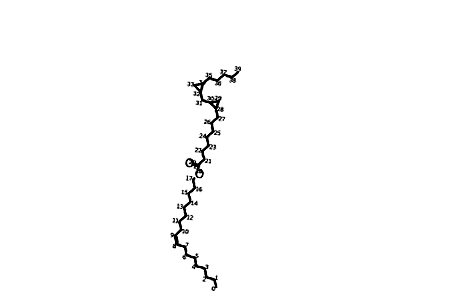 CCCCCCCC/C=C\CCCCCCCCOC(=O)CCCCCCCC1CC1CC1CC1CCCCC